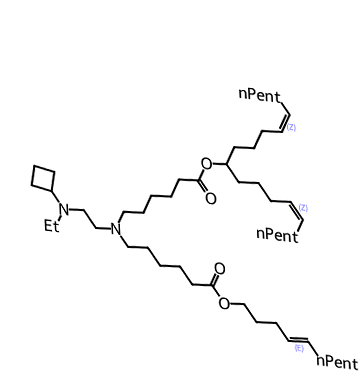 CCCCC/C=C\CCCC(CCC/C=C\CCCCC)OC(=O)CCCCCN(CCCCCC(=O)OCCC/C=C/CCCCC)CCN(CC)C1CCC1